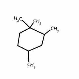 CC1CCC(C)(C)C(C)C1